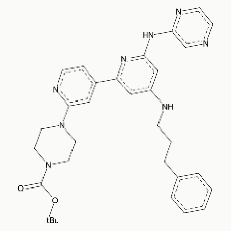 CC(C)(C)OC(=O)N1CCN(c2cc(-c3cc(NCCCc4ccccc4)cc(Nc4cnccn4)n3)ccn2)CC1